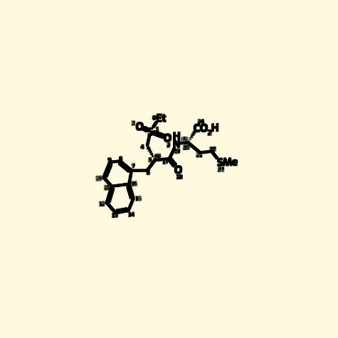 CCS(=O)(=O)C[C@@H](Cc1cccc2ccccc12)C(=O)N[C@@H](CCSC)C(=O)O